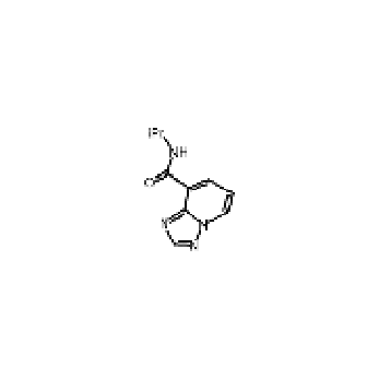 CC(C)NC(=O)c1cccn2ncnc12